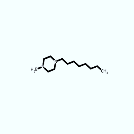 BN1CCN(CCCCCCCC)CC1